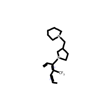 C=C/C(=C(\C=C/C)C(F)(F)F)N1CCC(CN2CCCCC2)C1